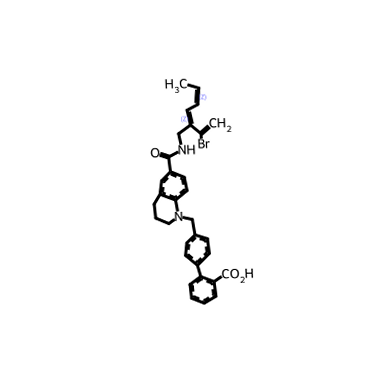 C=C(Br)/C(=C\C=C/C)CNC(=O)c1ccc2c(c1)CCCN2Cc1ccc(-c2ccccc2C(=O)O)cc1